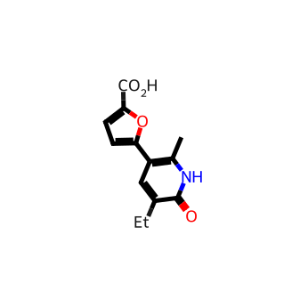 CCc1cc(-c2ccc(C(=O)O)o2)c(C)[nH]c1=O